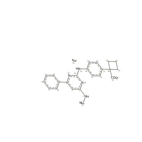 CC(C)(C)Nc1cc(-c2ccccc2)nc(Nc2ccc(C3(C(=O)[O-])CCC3)cc2)n1.[Na+]